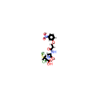 CC(C)(SCl)C(Cl)(C(=O)O)N1CC(NC(=O)CCOc2cccc([N+](=O)[O-])c2)C1=O